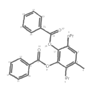 CCCc1cc(C)c(C(C)C)c(OC(=O)c2ccccc2)c1OC(=O)c1ccccc1